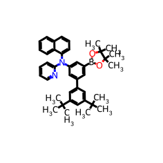 CC(C)(C)c1cc(-c2cc(B3OC(C)(C)C(C)(C)O3)cc(N(c3ccccn3)c3cccc4ccccc34)c2)cc(C(C)(C)C)c1